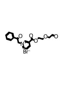 O=CCOCCOC(=O)c1ccc[n+](CC(=O)c2ccccc2)c1.[Br-]